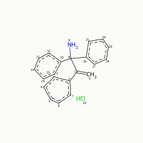 C=C(c1ccccc1)C(N)(c1ccccc1)c1ccccc1.Cl